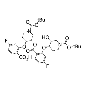 CC(C)(C)OC(=O)N1CC[C@@H](Oc2cc(F)ccc2C(=O)O[C@H]2CN(C(=O)OC(C)(C)C)CC[C@@H]2Oc2cc(F)ccc2C(=O)O)[C@H](O)C1